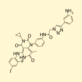 Cc1c(=O)[nH]c(Nc2ccc(I)cc2F)c2c(=O)n(C3CC3)c(=O)n(-c3cccc(NC(=O)Cn4cc(-c5cccc(N)c5)nn4)c3)c12